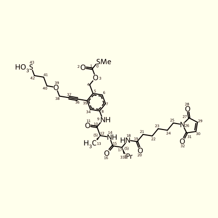 CSC(=O)OCc1ccc(NC(=O)[C@H](C)NC(=O)[C@@H](NC(=O)CCCCCN2C(=O)C=CC2=O)C(C)C)cc1C#CCOCCCS(=O)(=O)O